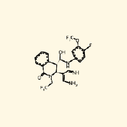 N=C/C(=C\N)[C@@H]1[C@@H](C(O)Nc2ccc(F)c(OC(F)(F)F)c2)c2ccccc2C(=O)N1CC(F)(F)F